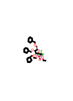 CCOP(=O)(OCC)C(F)(F)C1(Cl)O[C@H](COCc2ccccc2)[C@@H](OCc2ccccc2)[C@@H]1OCc1ccccc1